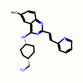 COc1ccc2nc(C=Cc3ccccn3)nc(N[C@H]3CC[C@@H](CN)CC3)c2c1